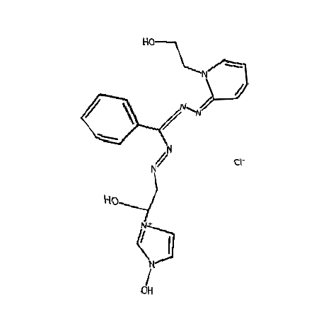 OCCn1ccccc1=NN=C(N=NCC(O)[n+]1ccn(O)c1)c1ccccc1.[Cl-]